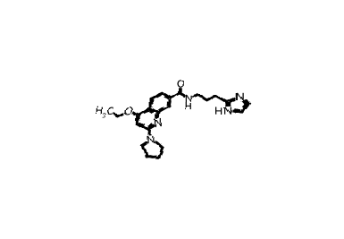 CCOc1cc(N2CCCC2)nc2cc(C(=O)NCCCc3ncc[nH]3)ccc12